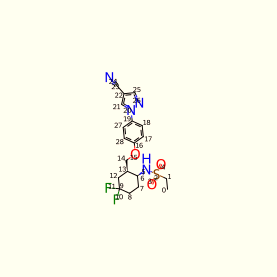 CCS(=O)(=O)N[C@H]1CCC(F)(F)C[C@H]1COc1ccc(-n2cc(C#N)cn2)cc1